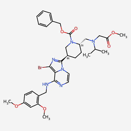 COC(=O)CN(C[C@@H]1CC[C@@H](c2nc(Br)c3c(NCc4ccc(OC)cc4OC)nccn23)CN1C(=O)OCc1ccccc1)C(C)C